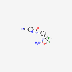 CC1(c2cccc(NC(=O)c3ccc(C#N)cn3)c2)N=C(N)OCC1(F)F